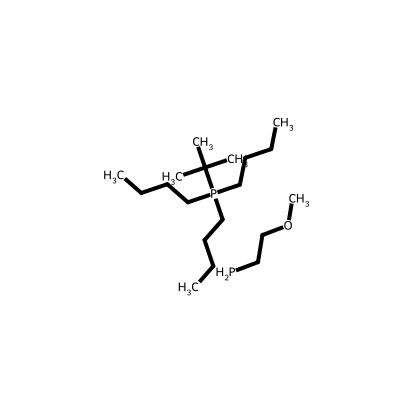 CCCC[P](CCCC)(CCCC)C(C)(C)C.COCCP